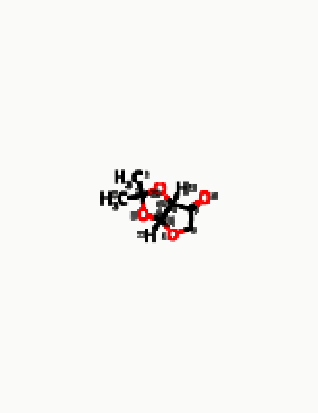 CC1(C)O[C@H]2OCC(=O)[C@H]2O1